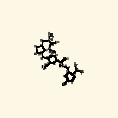 CC[S+]([O-])c1ccc(Cl)cc1CNC(=O)c1ccc(CN2CCC(CN(C)C(=O)OC(C)(C)C)C2)c(C(F)(F)F)c1